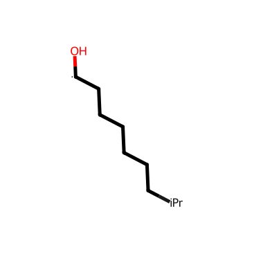 CC(C)CCCCCC[CH]O